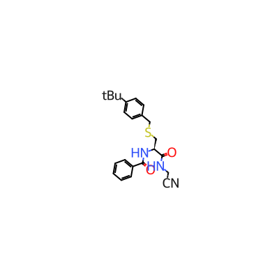 CC(C)(C)c1ccc(CSC[C@H](NC(=O)c2ccccc2)C(=O)NCC#N)cc1